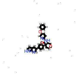 O=C(Nc1ccc(Oc2ccccc2)cn1)C1(c2ccc(-c3cnc4[nH]ccc4c3)cc2)CCOCC1